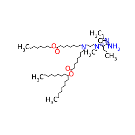 C=CN(CCCN(CCCCCCCC(=O)OCCCCCCCC)CCCCCCCC(=O)OC(CCCCCCCC)CCCCCCCC)/C(C)=C(CCC)/C(N)=N\CCC